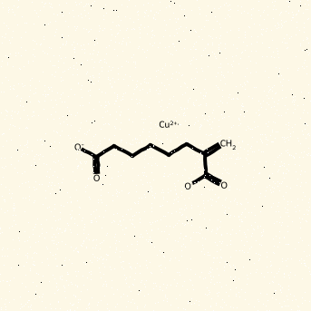 C=C(CCCCCC(=O)[O-])C(=O)[O-].[Cu+2]